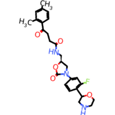 Cc1ccc(C(=O)CCC(=O)NC[C@H]2CN(c3ccc(C4CNCCO4)c(F)c3)C(=O)O2)c(C)c1